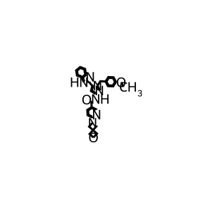 COc1ccc(Cn2nc(NC(=O)c3ccc(N4CC5(COC5)C4)nc3)cc2-c2nc3ccccc3[nH]2)cc1